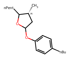 CCCCCC1OC(Oc2ccc(CCCC)cc2)C[C@H]1C